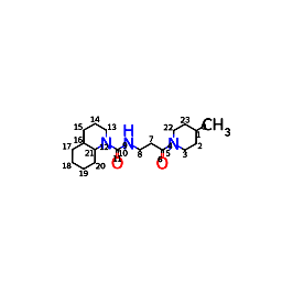 CC1CCN(C(=O)CCNC(=O)N2CCCC3CCCCC32)CC1